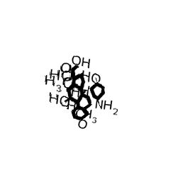 C[C@]12CCC(=O)C=C1CC[C@@H]1[C@@H]2[C@@H](O)C[C@@]2(C)[C@H]1CC[C@]2(O)C(=O)CO.N[C@H]1CC[C@H](O)CC1